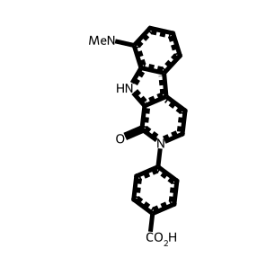 CNc1cccc2c1[nH]c1c(=O)n(-c3ccc(C(=O)O)cc3)ccc12